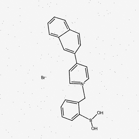 OB(O)c1ccccc1C[n+]1ccc(-c2ccc3ccccc3c2)cc1.[Br-]